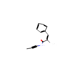 CC#CNC(=O)C([C]=O)=Cc1ccccc1